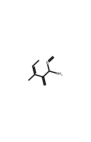 C=NC(N)C(=C)/C(C)=C\C